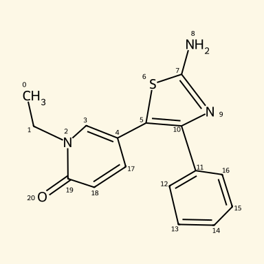 CCn1cc(-c2sc(N)nc2-c2ccccc2)ccc1=O